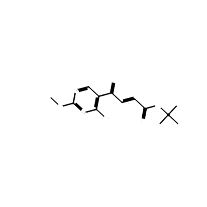 CSc1ncc(C(=O)/C=C/C(=O)OC(C)(C)C)c(Cl)n1